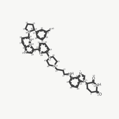 O=C1CCC(n2cnc3c(NCCCN4CCN(c5cccc(-c6cnc7ccc(N8CCC[C@@H]8c8cccc(F)c8)nn67)n5)CC4)cccc32)C(=O)N1